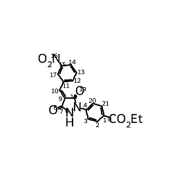 CCOC(=O)c1ccc(N2NC(=O)/C(=C/c3cccc([N+](=O)[O-])c3)C2=O)cc1